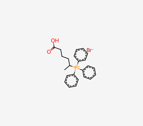 CC(CCCC(=O)O)[P+](c1ccccc1)(c1ccccc1)c1ccccc1.[Br-]